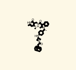 CSc1cc(C)[nH]c(=O)c1CNC(=O)c1c(C)n([C@H](C)C2CCC(NC3CN(C(=O)CC45CC6CC(CC(C6)C4)C5)C3)CC2)c2ccccc12